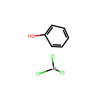 Oc1ccccc1.[Cl][Al]([Cl])[Cl]